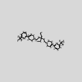 CCCC(CC)(CCN1CC=C(c2cccc(C(F)(F)F)n2)CC1)CCN1CC=C(c2cccc(C(F)(F)F)n2)CC1